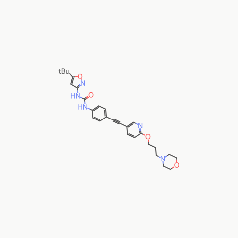 CC(C)(C)c1cc(NC(=O)Nc2ccc(C#Cc3ccc(OCCCN4CCOCC4)nc3)cc2)no1